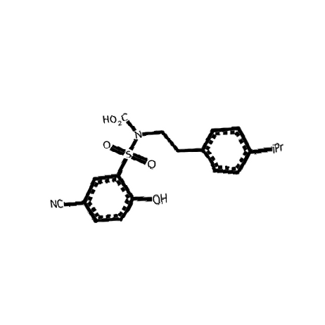 CC(C)c1ccc(CCN(C(=O)O)S(=O)(=O)c2cc(C#N)ccc2O)cc1